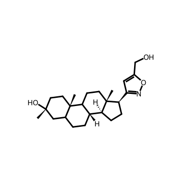 C[C@@]1(O)CC[C@@]2(C)C(CC[C@@H]3C2CC[C@]2(C)[C@@H](c4cc(CO)on4)CC[C@@H]32)C1